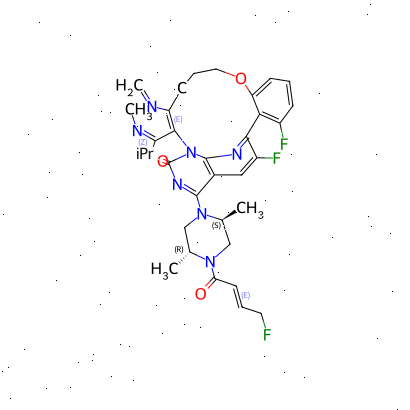 C=N/C1=C(\C(=N/C)C(C)C)n2c(=O)nc(N3C[C@@H](C)N(C(=O)/C=C/CF)C[C@@H]3C)c3cc(F)c(nc32)-c2c(F)cccc2OCCC1